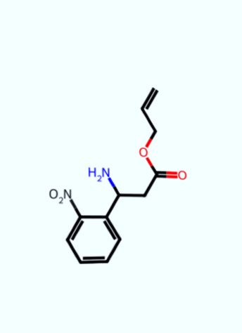 C=CCOC(=O)CC(N)c1ccccc1[N+](=O)[O-]